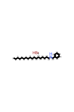 Br.CCCCCCCCCCCCCCCCCCNCc1ccccc1